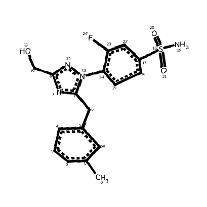 Cc1cccc(Cc2nc(CO)nn2-c2ccc(S(N)(=O)=O)cc2F)c1